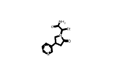 CCC(C(N)=O)N1CC(c2cccnc2)CC1=O